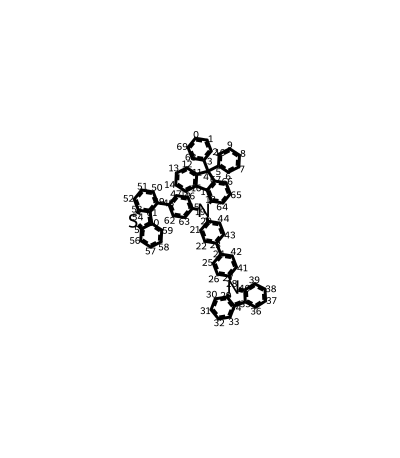 c1ccc(C2(c3ccccc3)c3ccccc3-c3c(N(c4ccc(-c5ccc(-n6c7ccccc7c7ccccc76)cc5)cc4)c4ccc(-c5cccc6sc7ccccc7c56)cc4)cccc32)cc1